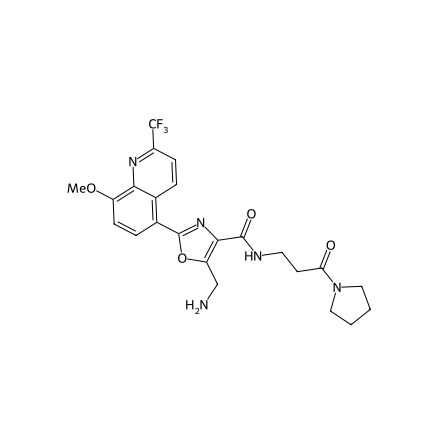 COc1ccc(-c2nc(C(=O)NCCC(=O)N3CCCC3)c(CN)o2)c2ccc(C(F)(F)F)nc12